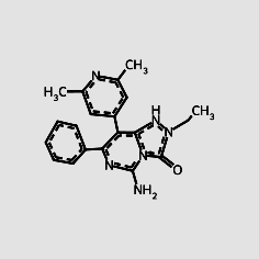 CCn1[nH]c2c(-c3cc(C)nc(C)c3)c(-c3ccccc3)nc(N)[n+]2c1=O